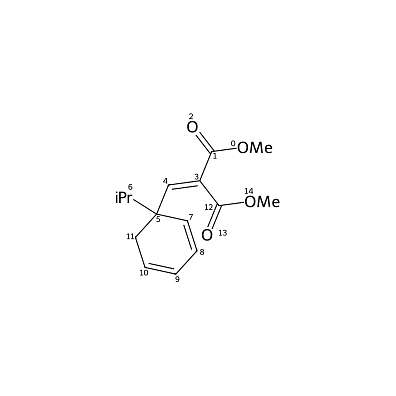 COC(=O)C(=CC1(C(C)C)C=CC=CC1)C(=O)OC